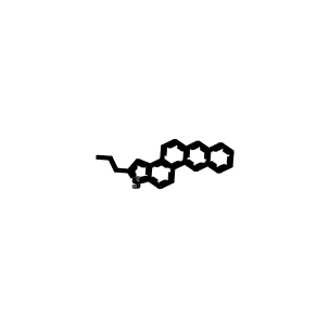 CCCc1cc2c(ccc3c4cc5ccccc5cc4ccc23)s1